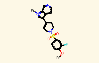 CCn1cc(C2=CCN(S(=O)(=O)c3ccc(OC(C)C)c(F)c3)CC2)c2ccncc21